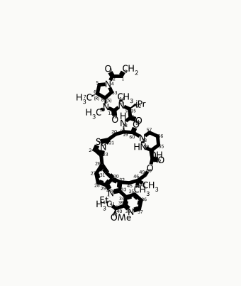 C=CC(=O)N1C[C@@H](C)[C@H](N(C)C(=O)N(C)[C@H](C(=O)N[C@H]2Cc3nc(cs3)-c3ccc4c(c3)c(c(-c3cccnc3[C@H](C)OC)n4CC)CC(C)(C)COC(=O)[C@@]3(O)CCCN(N3)C2=O)C(C)C)C1